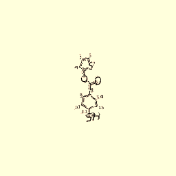 O=C(Oc1cccs1)c1ccc(S)cc1